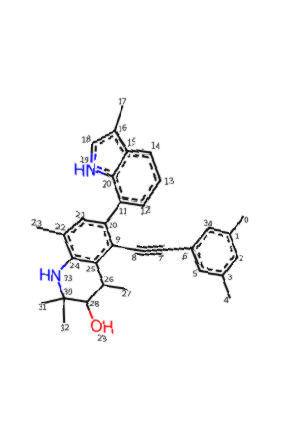 Cc1cc(C)cc(C#Cc2c(-c3cccc4c(C)c[nH]c34)cc(C)c3c2C(C)C(O)C(C)(C)N3)c1